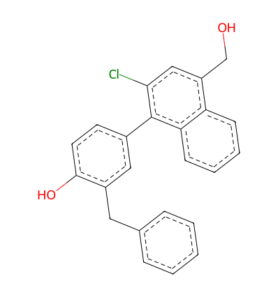 OCc1cc(Cl)c(-c2ccc(O)c(Cc3ccccc3)c2)c2ccccc12